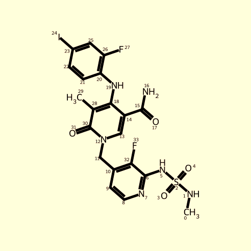 CNS(=O)(=O)Nc1nccc(Cn2cc(C(N)=O)c(Nc3ccc(I)cc3F)c(C)c2=O)c1F